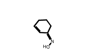 ON=C1C=CCCC1